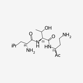 CC(=O)[C@H](CCN)NC(=O)[C@@H](NC(=O)[C@H](N)CC(C)C)C(C)O